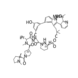 CCn1c(-c2cccnc2[C@H](C)OC)c2c3cc(ccc31)-c1cc(O)cc(c1)C[C@H](NC(=O)C(C(C)C)N(C)C(=O)[C@H]1CCN(C(=O)[C@@]3(C)CCCN3C)C1)C(=O)N1CCC[C@H](N1)C(=O)OCC(C)(C)C2